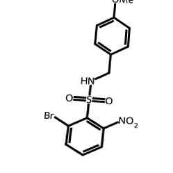 COc1ccc(CNS(=O)(=O)c2c(Br)cccc2[N+](=O)[O-])cc1